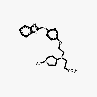 CC(=O)N1CCC(N(CCOc2ccc(Oc3nc4ccccc4s3)cc2)CCC(=O)O)CC1